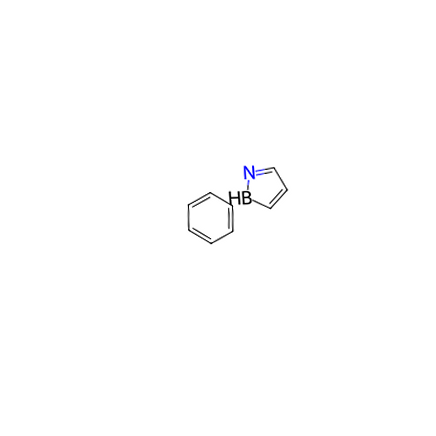 B1C=CC=N1.c1ccccc1